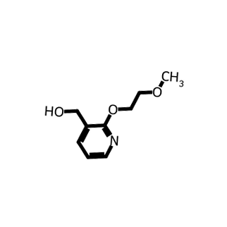 COCCOc1ncccc1CO